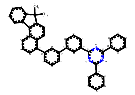 CC1(C)c2ccccc2-c2c1ccc1c(-c3cccc(-c4cccc(-c5nc(-c6ccccc6)nc(-c6ccccc6)n5)c4)c3)cccc21